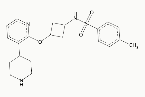 Cc1ccc(S(=O)(=O)NC2CC(Oc3ncccc3C3CCNCC3)C2)cc1